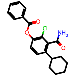 NC(=O)c1c(C2CCCCC2)ccc(OC(=O)c2ccccc2)c1Cl